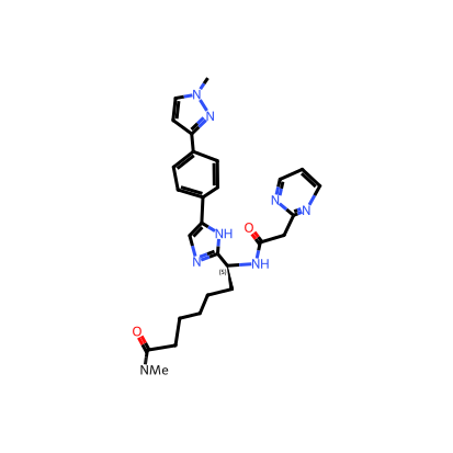 CNC(=O)CCCCC[C@H](NC(=O)Cc1ncccn1)c1ncc(-c2ccc(-c3ccn(C)n3)cc2)[nH]1